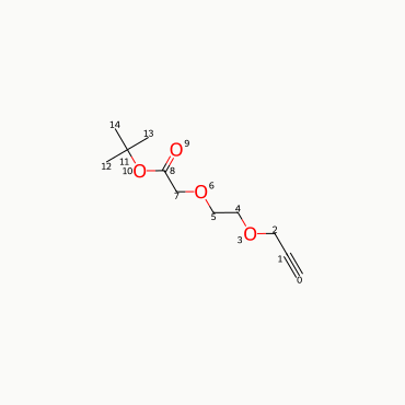 C#CCOCCOCC(=O)OC(C)(C)C